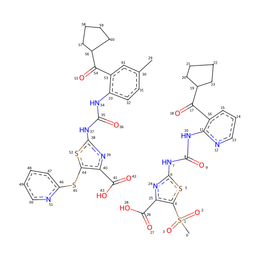 CS(=O)(=O)c1sc(NC(=O)Nc2ncccc2C(=O)C2CCCC2)nc1C(=O)O.Cc1ccc(NC(=O)Nc2nc(C(=O)O)c(Sc3ccccn3)s2)c(C(=O)C2CCCC2)c1